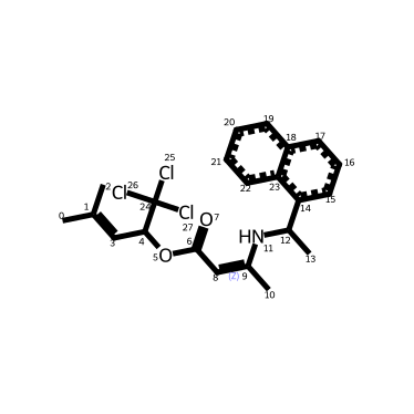 CC(C)=CC(OC(=O)/C=C(/C)NC(C)c1cccc2ccccc12)C(Cl)(Cl)Cl